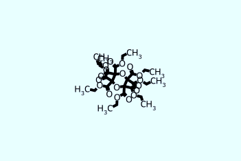 CCOC(=O)C1(C(=O)OCC)OC(C(=O)OCC)(C(=O)OCC)C(C(=O)OCC)(C(=O)OCC)OC1(C(=O)OCC)C(=O)OCC